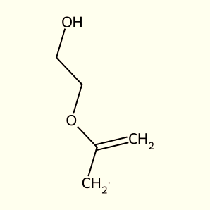 [CH2]C(=C)OCCO